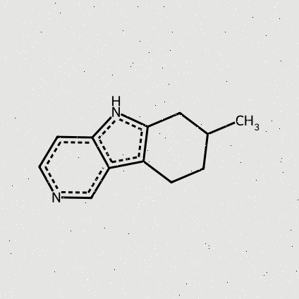 CC1CCc2c([nH]c3ccncc23)C1